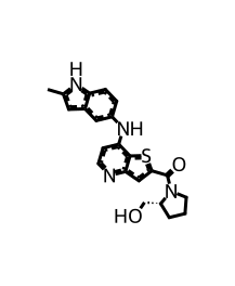 Cc1cc2cc(Nc3ccnc4cc(C(=O)N5CCC[C@@H]5CO)sc34)ccc2[nH]1